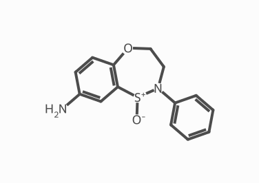 Nc1ccc2c(c1)[S+]([O-])N(c1ccccc1)CCO2